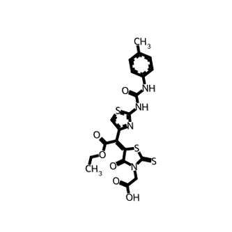 CCOC(=O)C(=C1SC(=S)N(CC(=O)O)C1=O)c1csc(NC(=O)Nc2ccc(C)cc2)n1